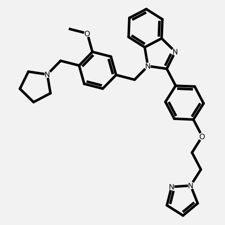 COc1cc(Cn2c(-c3ccc(OCCn4cccn4)cc3)nc3ccccc32)ccc1CN1CCCC1